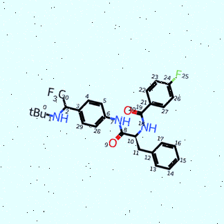 CC(C)(C)NC(c1ccc(NC(=O)[C@H](Cc2ccccc2)NC(=O)c2ccc(F)cc2)cc1)C(F)(F)F